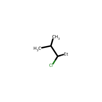 CCC(Cl)C(C)C